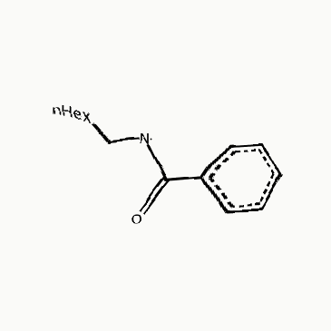 CCCCCCC[N]C(=O)c1ccccc1